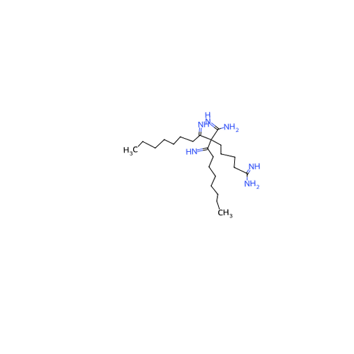 CCCCCCCC(=N)C(CCCCC(=N)N)(C(=N)N)C(=N)CCCCCCC